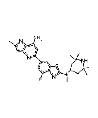 Cc1cn2nc(-c3cc(F)c4nc(N(C)C5CC(C)(C)NC(C)(C)C5)sc4c3)cc(N)c2n1